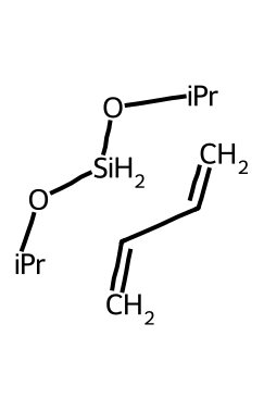 C=CC=C.CC(C)O[SiH2]OC(C)C